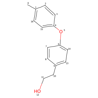 Cc1ccc(Oc2ccc(CCO)cc2)cc1